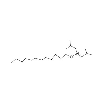 CCCCCCCCCCCC[O][Al]([CH2]C(C)C)[CH2]C(C)C